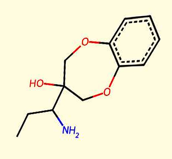 CCC(N)C1(O)COc2ccccc2OC1